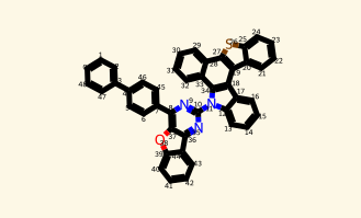 c1ccc(-c2ccc(-c3nc(-n4c5ccccc5c5c6c7ccccc7sc6c6ccccc6c54)nc4c3oc3ccccc34)cc2)cc1